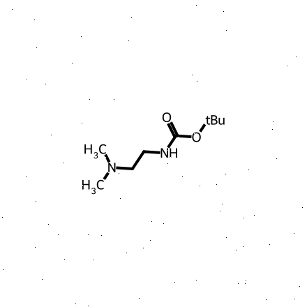 CN(C)CCNC(=O)OC(C)(C)C